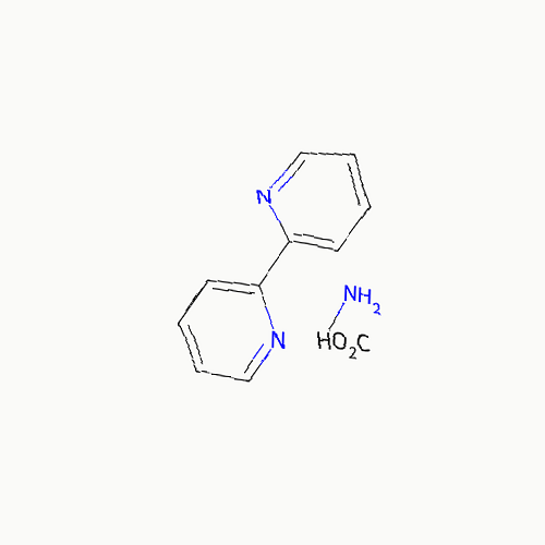 NC(=O)O.c1ccc(-c2ccccn2)nc1